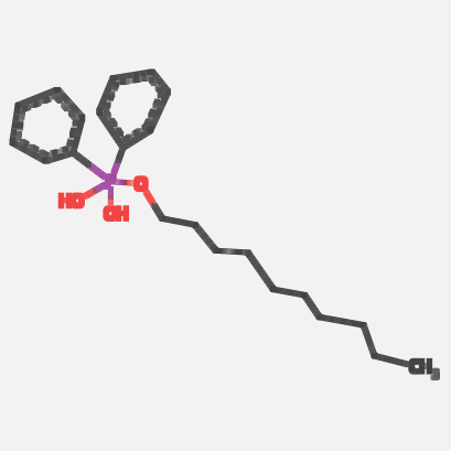 CCCCCCCCCCOP(O)(O)(c1ccccc1)c1ccccc1